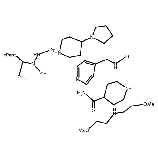 C1CCN(C2CCNCC2)C1.CCCCCC(C)N(C)NC(C)C.CCNCc1ccncc1.COCCNCCOC.NC(=O)C1CCNCC1